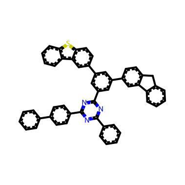 c1ccc(-c2ccc(-c3nc(-c4ccccc4)nc(-c4cc(-c5ccc6c(c5)-c5ccccc5C6)cc(-c5ccc6sc7ccccc7c6c5)c4)n3)cc2)cc1